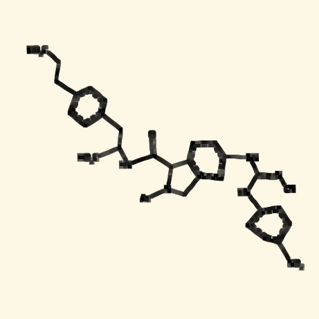 CC(=O)N1Cc2cc(NC(=NC#N)Nc3ccc([N+](=O)[O-])cc3)ccc2C1C(=O)NC(Cc1ccc(CCC(=O)O)cc1)C(=O)O